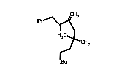 C=C(CC(C)(C)CCC(C)(C)C)NCC(C)C